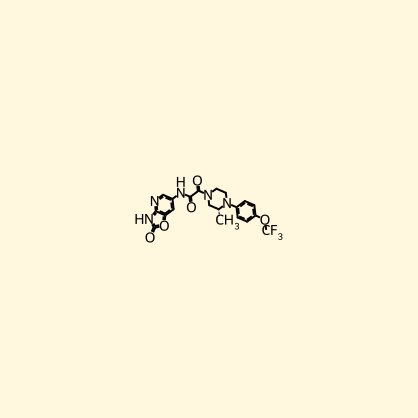 C[C@@H]1CN(C(=O)C(=O)Nc2cnc3[nH]c(=O)oc3c2)CCN1c1ccc(OC(F)(F)F)cc1